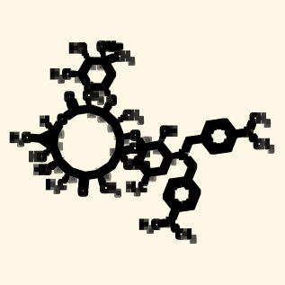 CO[C@]1(C)C[C@H](O[C@H]2[C@H](C)[C@@H](O[C@@H]3O[C@H](C)C[C@H](N(Cc4ccc(N(C)C)cc4)Cc4ccc(N(C)C)cc4)[C@H]3O)[C@@](C)(OC)C[C@@H](C)C(=O)[C@H](C)[C@@H](O)[C@@]3(O)C(C)[C@H]3OC(=O)[C@@H]2C)O[C@@H](C)[C@@H]1O